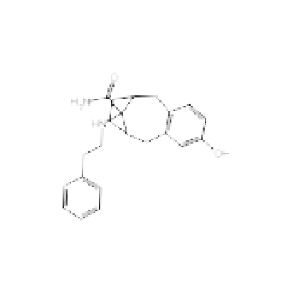 NC(=O)C1(NCCc2ccccc2)C2CCC1Cc1cc(O)ccc1C2